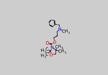 CN(CCCOC(=O)N1C(C)(C)COC1(C)C)Cc1ccccc1